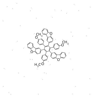 COc1ccc(-c2c(-c3ccc4oc5ccccc5c4c3)c(-c3ccc(OC)cc3)c(-c3ccc4oc5ccccc5c4c3)c(-c3ccc(OC)cc3)c2-c2ccc3oc4ccccc4c3c2)cc1